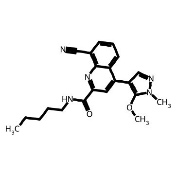 CCCCCNC(=O)c1cc(-c2cnn(C)c2OC)c2cccc(C#N)c2n1